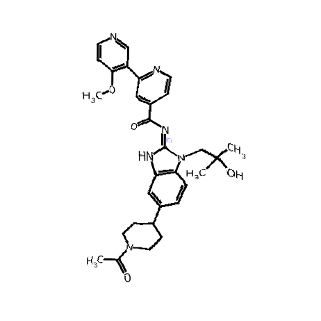 COc1ccncc1-c1cc(C(=O)/N=c2\[nH]c3cc(C4CCN(C(C)=O)CC4)ccc3n2CC(C)(C)O)ccn1